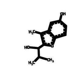 Cc1c(C(O)C(C)C)oc2ccc(O)cc12